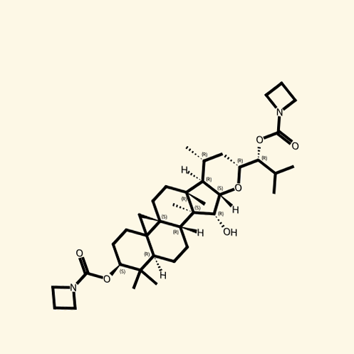 CC(C)[C@@H](OC(=O)N1CCC1)[C@H]1C[C@@H](C)[C@H]2[C@H](O1)[C@H](O)[C@@]1(C)[C@@H]3CC[C@H]4C(C)(C)[C@@H](OC(=O)N5CCC5)CCC45C[C@@]35CC[C@]21C